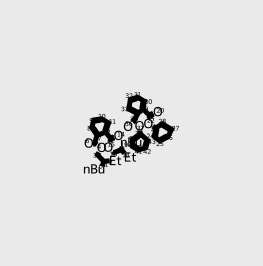 CCCCC(CC)COC(=O)c1ccccc1C(=O)OCC(CC)CCCC.O=C(Oc1ccccc1)c1ccccc1C(=O)Oc1ccccc1